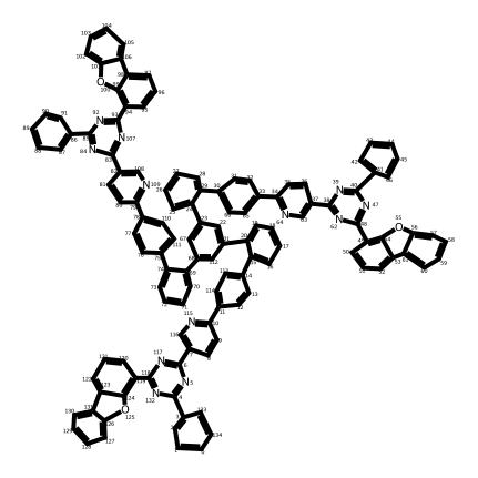 c1ccc(-c2nc(-c3ccc(-c4ccc(-c5ccccc5-c5cc(-c6ccccc6-c6ccc(-c7ccc(-c8nc(-c9ccccc9)nc(-c9cccc%10c9oc9ccccc9%10)n8)cn7)cc6)cc(-c6ccccc6-c6ccc(-c7ccc(-c8nc(-c9ccccc9)nc(-c9cccc%10c9oc9ccccc9%10)n8)cn7)cc6)c5)cc4)nc3)nc(-c3cccc4c3oc3ccccc34)n2)cc1